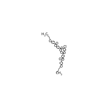 CCCCCCOc1ccc(C(=O)Oc2ccc(C(=O)Oc3ccc(Cl)c(OC(=O)c4ccc(OC(=O)c5ccc(OCCCCCC)cc5)cc4)c3)cc2)cc1